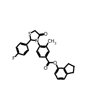 Cc1cc(C(=O)Oc2cccc3c2CCC3)ccc1N1C(=O)CSC1c1ccc(F)cc1